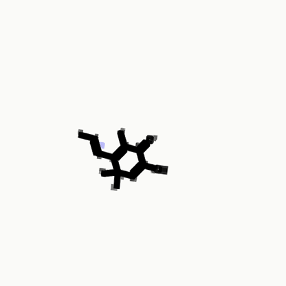 C/C=C/C1=C(C)C(=O)C(O)=CC1(C)C